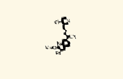 CCc1cc2ccc(C(C#N)CCCc3cnccc3Cl)cc2nc1OC